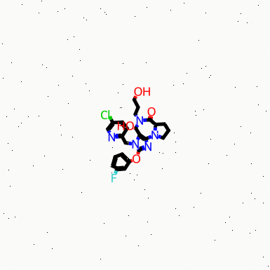 O=C1C2CCCN2c2nc(Oc3cccc(F)c3)n(Cc3ccc(Cl)cn3)c2C(O)N1CCCO